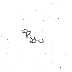 c1ccc(-c2n[nH]c(SCc3nc4cccnc4[nH]3)n2)cc1